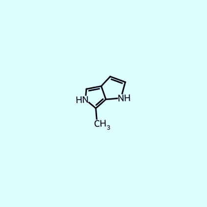 Cc1[nH]cc2cc[nH]c12